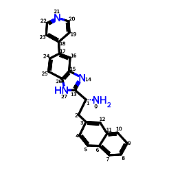 N[C@H](Cc1ccc2ccccc2c1)c1nc2cc(-c3ccncc3)ccc2[nH]1